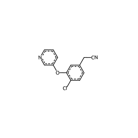 N#CCc1ccc(Cl)c(Oc2cccnc2)c1